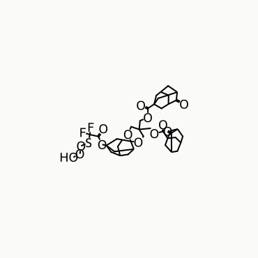 O=C1C2CC3CC1CC(C(=O)OCC1(COC(=O)C45CC6CC(C4)C(=O)C(C6)C5)COC4(OC1)C1CC5CC4CC(OC(=O)C(F)(F)SOOO)(C5)C1)(C3)C2